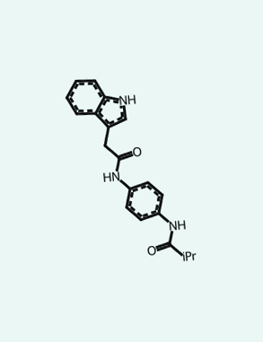 CC(C)C(=O)Nc1ccc(NC(=O)Cc2c[nH]c3ccccc23)cc1